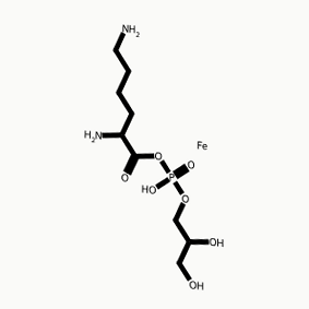 NCCCCC(N)C(=O)OP(=O)(O)OCC(O)CO.[Fe]